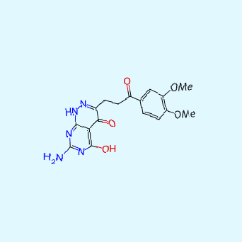 COc1ccc(C(=O)CCc2n[nH]c3nc(N)nc(O)c3c2=O)cc1OC